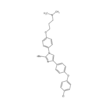 CCCCc1nc(-c2ccc(Oc3ccc(Cl)cc3)cc2)cn1-c1ccc(OCCCN(C)C)cc1